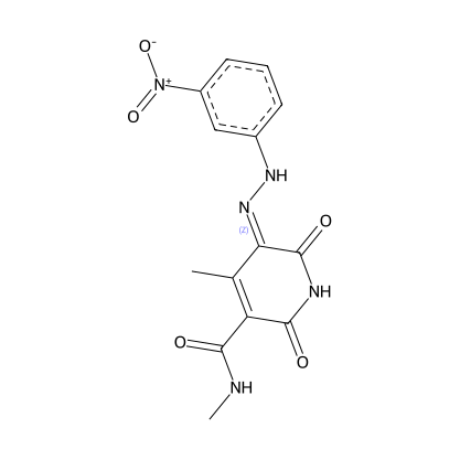 CNC(=O)C1=C(C)/C(=N/Nc2cccc([N+](=O)[O-])c2)C(=O)NC1=O